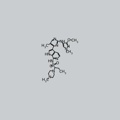 CCC(N1CCN(C)CC1)S(=O)(=O)Nc1nccc2c(-c3nc(Nc4cn(C)nc4OC)ncc3C)c[nH]c12